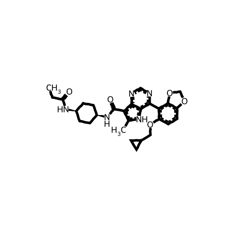 CCC(=O)N[C@H]1CC[C@@H](NC(=O)c2c(C)[nH]c3c(-c4c(OCC5CC5)ccc5c4OCO5)ncnc23)CC1